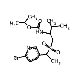 CC(C)OC(=O)N[C@H](CS(=O)(=O)C(C)c1ccc(Br)nc1)C(C)C